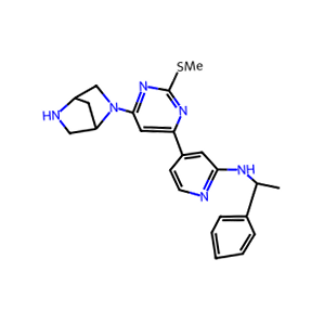 CSc1nc(-c2ccnc(NC(C)c3ccccc3)c2)cc(N2CC3CC2CN3)n1